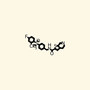 O=C(NCc1ccc(S(=O)(=O)c2ccc(F)cc2C(F)(F)F)cc1)c1cc2ccncc2s1